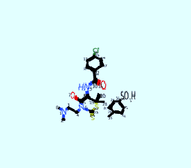 CN(C)CCN1C(=O)C(NC(=O)c2ccc(Cl)cc2)C(C)(C)SC1=S.Cc1ccc(S(=O)(=O)O)cc1